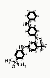 CP(C)(=O)c1ccc(Nc2ncc(C(F)(F)F)c(Nc3ccc(Nc4ccccc4)cc3)n2)cc1